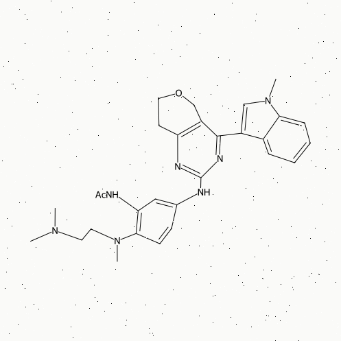 CC(=O)Nc1cc(Nc2nc3c(c(-c4cn(C)c5ccccc45)n2)COCC3)ccc1N(C)CCN(C)C